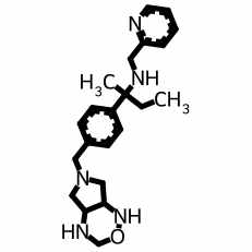 CCC(C)(NCc1ccccn1)c1ccc(CN2CC3NCONC3C2)cc1